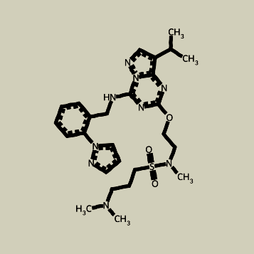 CC(C)c1cnn2c(NCc3ccccc3-n3cccn3)nc(OCCN(C)S(=O)(=O)CCCN(C)C)nc12